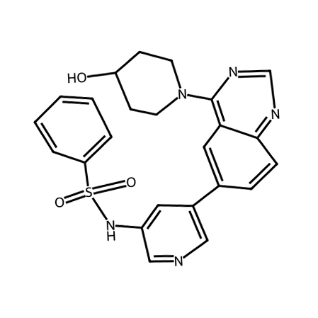 O=S(=O)(Nc1cncc(-c2ccc3ncnc(N4CCC(O)CC4)c3c2)c1)c1ccccc1